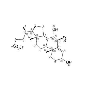 CCOC(=O)CC[C@@H](C)[C@H]1CCC2C3C(CC[C@@]21C)[C@@]1(C)CCC(O)C=C1[C@H](CC)[C@H]3O